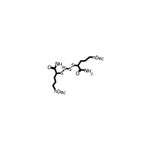 CCCCCCCCCCCCCC(SSSSC(CCCCCCCCCCCCC)C(N)=O)C(N)=O